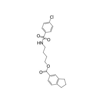 O=C(OCCCCNS(=O)(=O)c1ccc(Cl)cc1)c1ccc2c(c1)CCC2